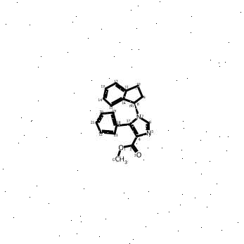 COC(=O)c1ncn([C@@H]2CCc3ccccc32)c1-c1ccccc1